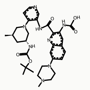 C[C@@H]1C[C@@H](NC(=O)OC(C)(C)C)CN(c2ccncc2NC(=O)c2nc3cc(N4CCN(C)CC4)ccc3cc2NC(=O)O)C1